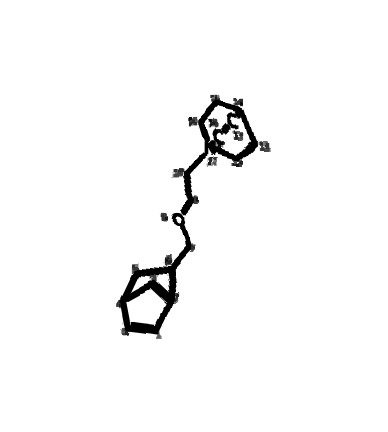 C1=CC2CC1CC2COCC[N+]12CCC(CC1)CC2